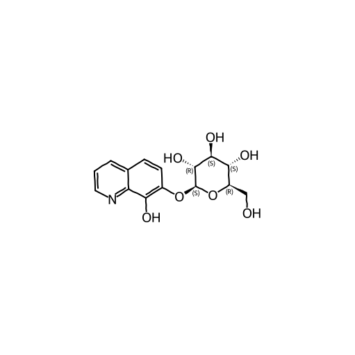 OC[C@H]1O[C@@H](Oc2ccc3cccnc3c2O)[C@H](O)[C@@H](O)[C@@H]1O